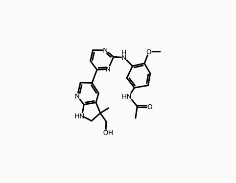 COc1ccc(NC(C)=O)cc1Nc1nccc(-c2cnc3c(c2)C(C)(CO)CN3)n1